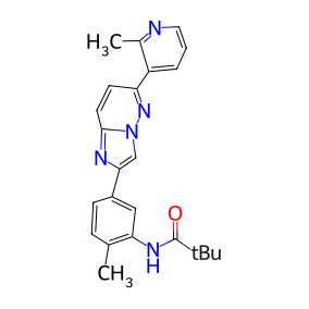 Cc1ccc(-c2cn3nc(-c4cccnc4C)ccc3n2)cc1NC(=O)C(C)(C)C